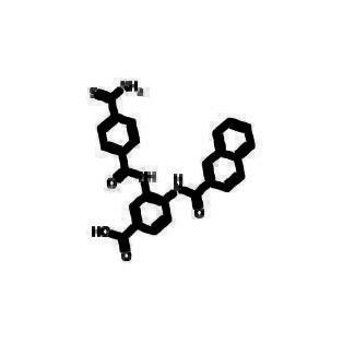 NC(=S)c1ccc(C(=O)Nc2cc(C(=O)O)ccc2NC(=O)c2ccc3ccccc3c2)cc1